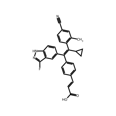 Cc1cc(C#N)ccc1C(=C(c1ccc(C=CC(=O)O)cc1)c1ccc2[nH]nc(F)c2c1)C1CC1